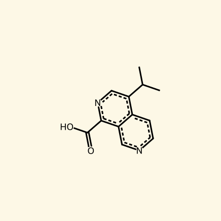 CC(C)c1cnc(C(=O)O)c2cnccc12